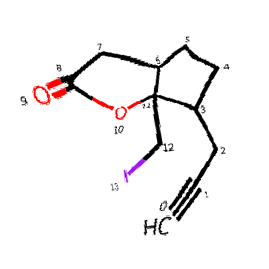 C#CCC1CCC2CC(=O)OC12CI